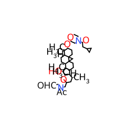 CC(=O)N(CC=O)CC1C[C@@H](C)[C@H]2C(O1)[C@H](O)[C@@]1(C)C3CC[C@H]4C(C)(C)C(O[C@H]5CN(C(=O)CC6CC6)CCO5)CCC45CC35CCC21C